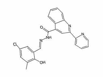 Cc1cc(Cl)cc(/C=N/NC(=O)c2cc(-c3ccccn3)nc3ccccc23)c1O